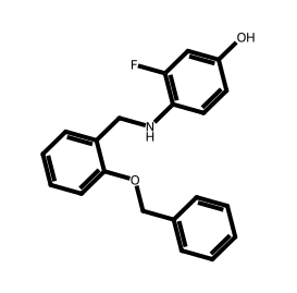 Oc1ccc(NCc2ccccc2OCc2ccccc2)c(F)c1